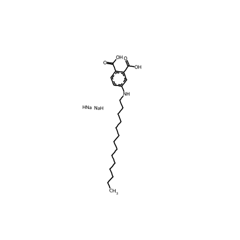 CCCCCCCCCCCCCCNc1ccc(C(=O)O)c(C(=O)O)c1.[NaH].[NaH]